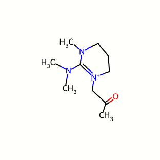 CC(=O)C[N+]1=C(N(C)C)N(C)CCC1